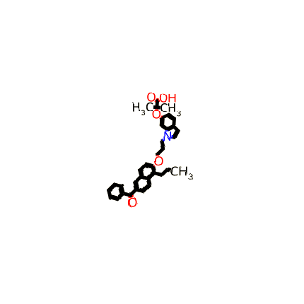 CCCc1c(OCCCn2ccc3ccc(OC(C)(C)C(=O)O)cc32)ccc2cc(C(=O)c3ccccc3)ccc12